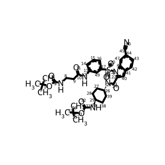 CC(C)(C)OC(=O)NCCC(=O)Nc1cccc(S(=O)(=O)n2c(C(=O)N[C@H]3CC[C@H](NC(=O)OC(C)(C)C)CC3)cc3ccc(C#N)cc32)c1